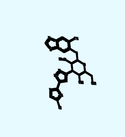 COC1C(Sc2cc3scnc3cc2C#N)OC(CO)C(O)C1n1cc(-c2nc(Cl)cs2)nn1